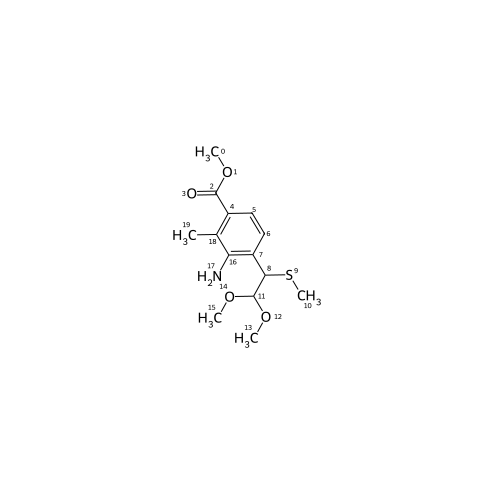 COC(=O)c1ccc(C(SC)C(OC)OC)c(N)c1C